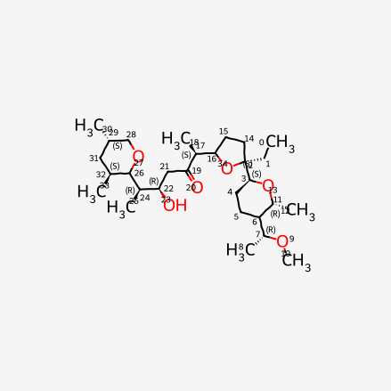 CC[C@@]1([C@@H]2CCC([C@@H](C)OC)[C@@H](C)O2)CCC([C@H](C)C(=O)C[C@@H](O)[C@@H](C)C2OC[C@@H](C)C[C@@H]2C)O1